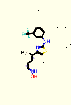 C/C(=C\C=C/NO)c1csc(Nc2cccc(C(F)(F)F)c2)n1